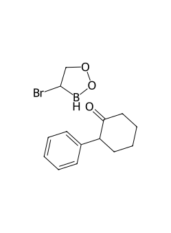 BrC1BOOC1.O=C1CCCCC1c1ccccc1